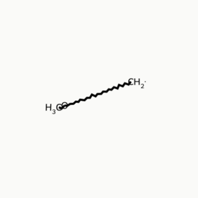 [CH2]CCCCCCCCCCCCCCCCCCCCCCCOCC